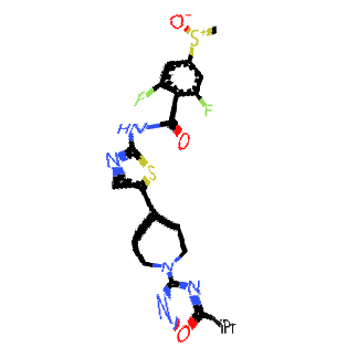 CC(C)c1nc(N2CCC(c3cnc(NC(=O)c4c(F)cc([S+](C)[O-])cc4F)s3)CC2)no1